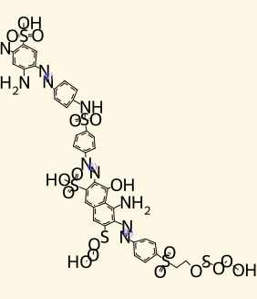 Nc1cc(N)c(S(=O)(=O)O)cc1/N=N/c1ccc(NS(=O)(=O)c2ccc(/N=N/c3c(S(=O)(=O)O)cc4cc(SOOO)c(/N=N/c5ccc(S(=O)(=O)CCOSOOO)cc5)c(N)c4c3O)cc2)cc1